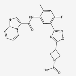 Cc1cc(F)c(-c2noc(C3CN(C(=O)O)C3)n2)cc1NC(=O)c1cnc2ccccn12